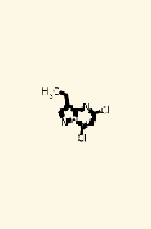 CCc1cnn2c(Cl)cc(Cl)nc12